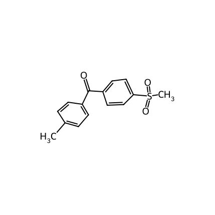 Cc1ccc(C(=O)c2ccc(S(C)(=O)=O)cc2)cc1